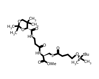 COC(=O)[C@H](CSC(=O)CCCO[Si](C)(C)C(C)(C)C)NC(=O)CCNC(=O)[C@@H]1OC(C)(C)OCC1(C)C